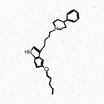 CCCCCOc1ccc2[nH]cc(CCCCN3CCC(c4ccccc4)CC3)c2c1